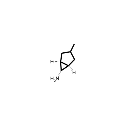 CC1C[C@@H]2[C@@H](N)[C@@H]2C1